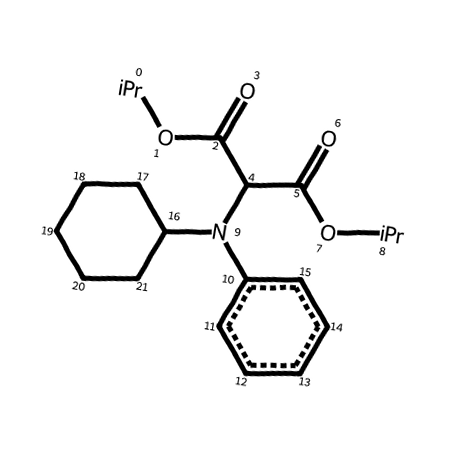 CC(C)OC(=O)C(C(=O)OC(C)C)N(c1ccccc1)C1CCCCC1